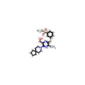 Cc1nc(N2CCC3(CCCC3)CC2)c(CO)nc1Sc1cccc(S(C)(=O)=O)c1